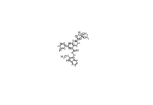 CCc1[nH]c2ccccc2c1CC[AsH]c1nc(-c2cncc(F)c2)nc2c1CCN(C(=O)OC(C)(C)C)C2